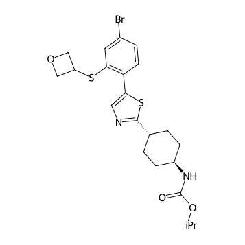 CC(C)OC(=O)N[C@H]1CC[C@H](c2ncc(-c3ccc(Br)cc3SC3COC3)s2)CC1